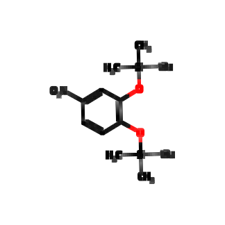 CC(C)(C)[Si](C)(C)Oc1ccc([N+](=O)[O-])cc1O[Si](C)(C)C(C)(C)C